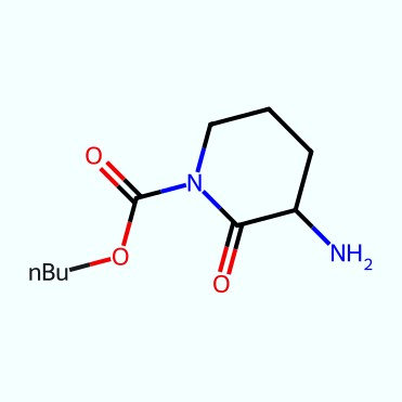 CCCCOC(=O)N1CCCC(N)C1=O